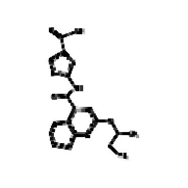 CCC(C)Oc1cc(C(=O)Nc2ncc(C(=O)O)s2)c2ccccc2n1